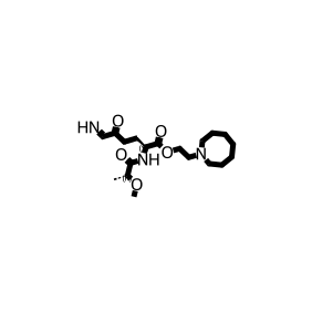 CO[C@H](C)C(=O)N[C@@H](CCC(=O)C=N)C(=O)OCCN1CCCCCCC1